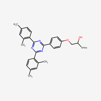 CCCCCCC(O)COc1ccc(-c2nc(-c3ccc(C)cc3C)nc(-c3ccc(C)cc3C)n2)cc1